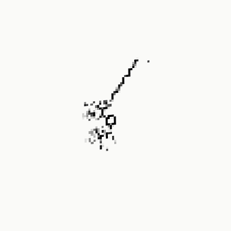 CCCCCCCCCCCOCC(=C(OC)c1cccc(O[Si](C)(C)C(C)(C)C)c1)C(C)(C)C